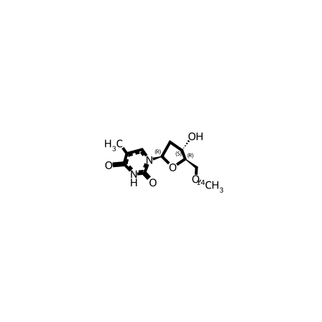 Cc1cn([C@H]2C[C@H](O)[C@@H](CO[14CH3])O2)c(=O)[nH]c1=O